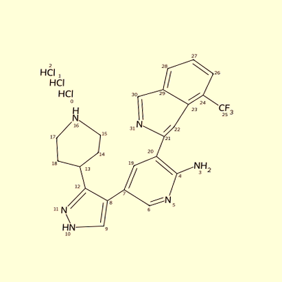 Cl.Cl.Cl.Nc1ncc(-c2c[nH]nc2C2CCNCC2)cc1-c1cc2c(C(F)(F)F)cccc2cn1